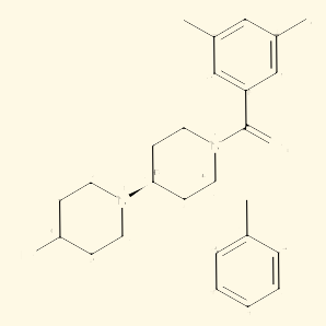 Cc1cc(C)cc(C(=O)N2CC[C@H](N3CCC(O)CC3)C[C@H]2Cc2ccccc2)c1